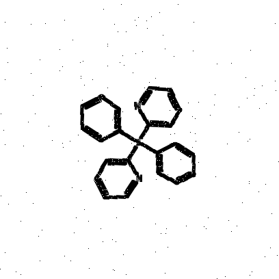 c1ccc(S(c2ccccc2)(c2ccccn2)c2ccccn2)cc1